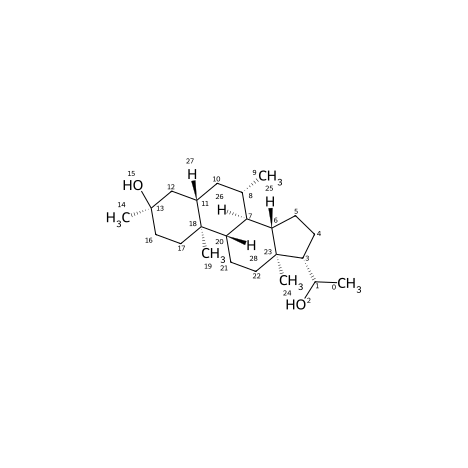 CC(O)[C@H]1CC[C@H]2[C@@H]3[C@@H](C)C[C@H]4C[C@](C)(O)CC[C@]4(C)[C@H]3CC[C@]12C